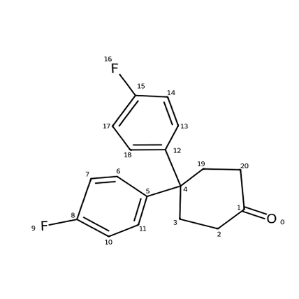 O=C1CCC(c2ccc(F)cc2)(c2ccc(F)cc2)CC1